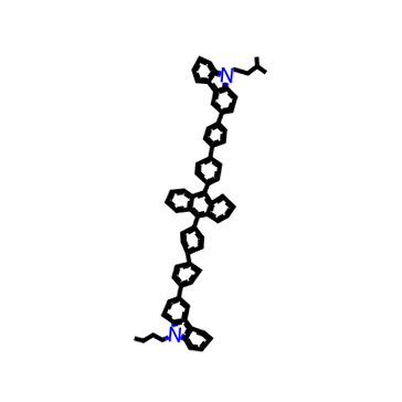 CCCCn1c2ccccc2c2cc(-c3ccc(-c4ccc(-c5c6ccccc6c(-c6ccc(-c7ccc(-c8ccc9c(c8)c8ccccc8n9CCC(C)C)cc7)cc6)c6ccccc56)cc4)cc3)ccc21